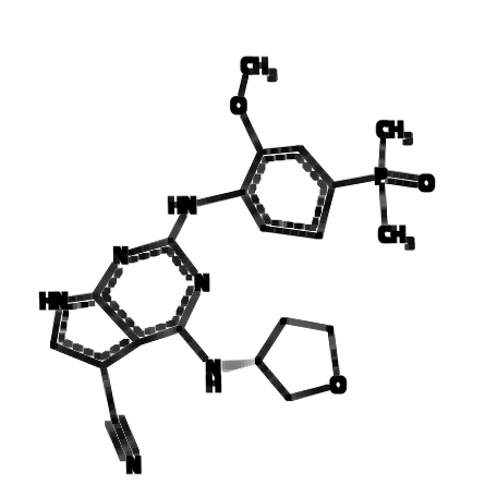 COc1cc(P(C)(C)=O)ccc1Nc1nc(N[C@@H]2CCOC2)c2c(C#N)c[nH]c2n1